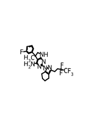 CC1(c2cccc(F)c2)CNc2nc(-n3nc(CCC(F)(F)C(F)(F)F)c4c3CCCC4)nc(N)c21